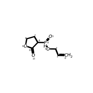 C=CCO[PH](=O)C1CCOC1=O